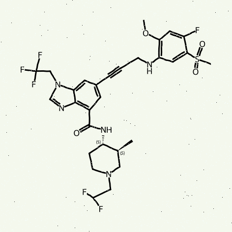 COc1cc(F)c(S(C)(=O)=O)cc1NCC#Cc1cc(C(=O)N[C@H]2CCN(CC(F)F)C[C@@H]2C)c2ncn(CC(F)(F)F)c2c1